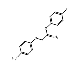 C=C([CH]Oc1ccc(C)cc1)Oc1ccc(F)cc1